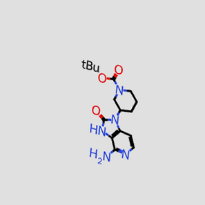 CC(C)(C)OC(=O)N1CCCC(n2c(=O)[nH]c3c(N)nccc32)C1